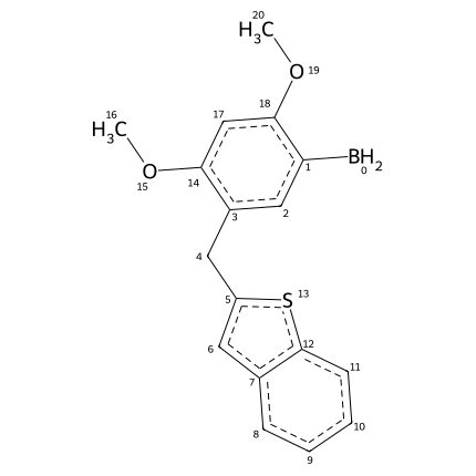 Bc1cc(Cc2cc3ccccc3s2)c(OC)cc1OC